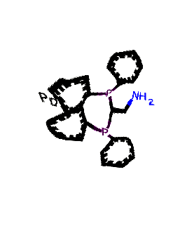 NCC(P(c1ccccc1)c1ccccc1)P(c1ccccc1)c1ccccc1.[Pd]